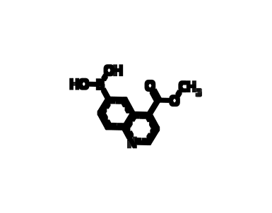 COC(=O)c1ccnc2ccc(B(O)O)cc12